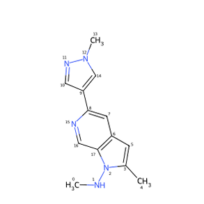 CNn1c(C)cc2cc(-c3cnn(C)c3)ncc21